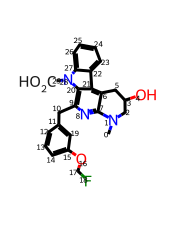 CN1CC(O)Cc2c1nc(Cc1cccc(OCF)c1)c1c2c2ccccc2n1C(=O)O